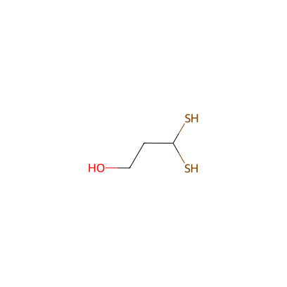 OCCC(S)S